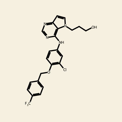 OCCCn1ccc2ncnc(Nc3ccc(OCc4ccc(C(F)(F)F)cc4)c(Cl)c3)c21